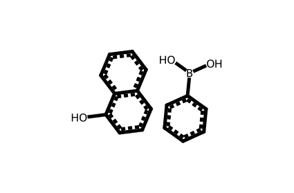 OB(O)c1ccccc1.Oc1cccc2ccccc12